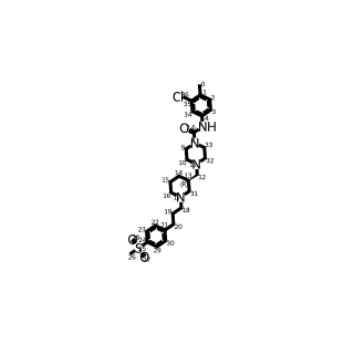 Cc1ccc(NC(=O)N2CCN(C[C@@H]3CCCN(CCCc4ccc(S(C)(=O)=O)cc4)C3)CC2)cc1Cl